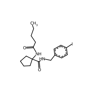 CCCCC(=O)NC1(C(=O)NCc2ccc(I)cc2)CCCC1